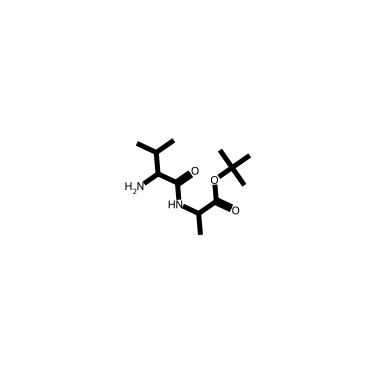 CC(NC(=O)C(N)C(C)C)C(=O)OC(C)(C)C